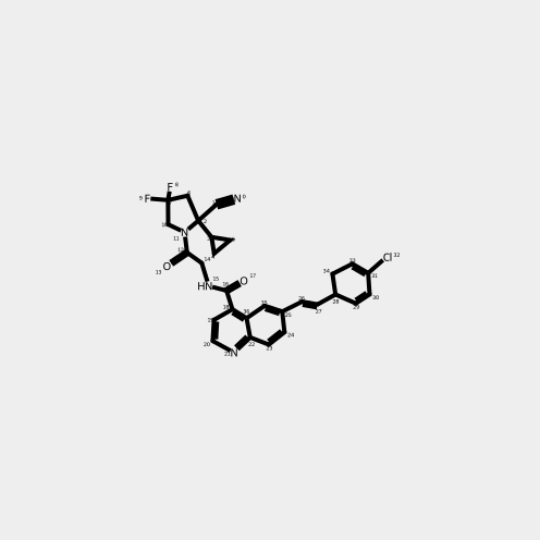 N#CC1(C2CC2)CC(F)(F)CN1C(=O)CNC(=O)c1ccnc2ccc(/C=C/C3C=CC(Cl)=CC3)cc12